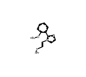 CCCCOc1ccccc1-c1nccn1C=CSCCC